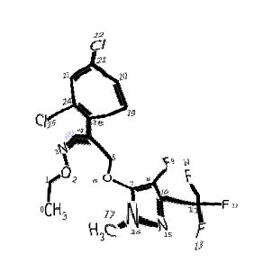 CCO/N=C(\COc1c(F)c(C(F)(F)F)nn1C)c1ccc(Cl)cc1Cl